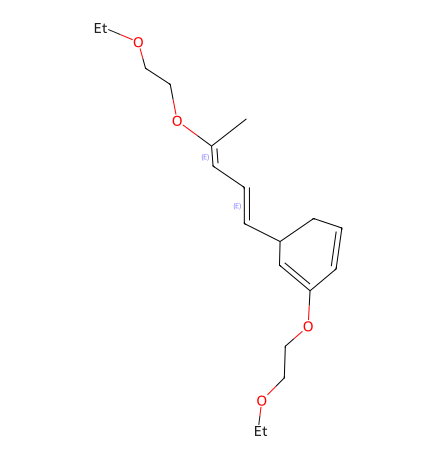 CCOCCOC1=CC(/C=C/C=C(\C)OCCOCC)CC=C1